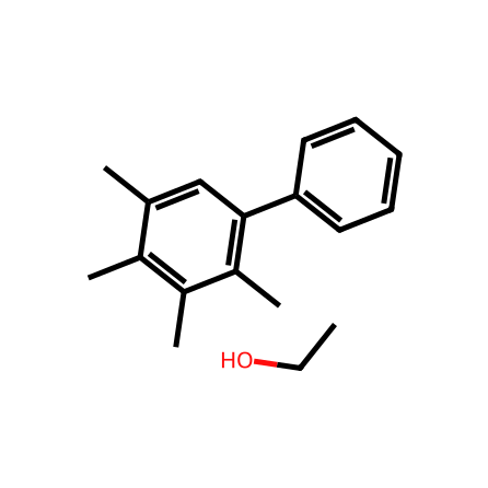 CCO.Cc1cc(-c2ccccc2)c(C)c(C)c1C